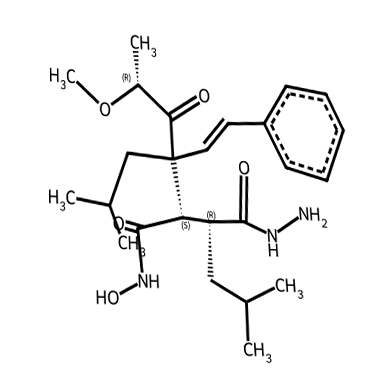 CO[C@H](C)C(=O)C(C=Cc1ccccc1)(CC(C)C)[C@@H](C(=O)NO)[C@@H](CC(C)C)C(=O)NN